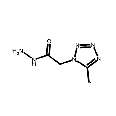 [CH2]c1nnnn1CC(=O)NN